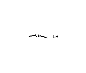 [I][Ca][I].[LiH]